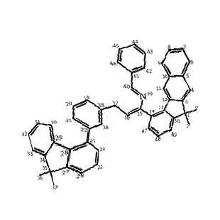 CC1(C)c2cc3ccccc3cc2-c2c(C(=C/Cc3cccc(-c4cccc5c4-c4ccccc4C5(C)C)c3)/N=C/c3ccccc3)cccc21